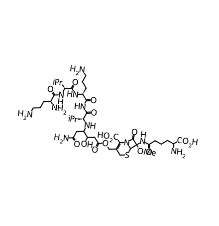 COC1(NC(=O)CCCC(N)C(=O)O)C(=O)N2C(C(=O)O)=C(COC(=O)CC(O)C(CC(N)=O)N[C@H](C(=O)NC(=O)[C@H](CCCN)NC(=O)[C@@H](NC(=O)[C@@H](N)CCCN)C(C)C)C(C)C)CSC21